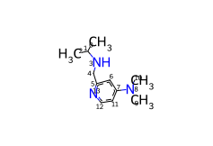 CC(C)NCc1cc(N(C)C)ccn1